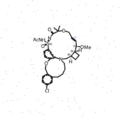 CO[C@@H]1/C=C/COC(C)(C)C(=O)N=[S@](=O)(NC(C)=O)c2ccc3c(c2)N(CCCCc2cc(Cl)ccc2CO3)C[C@@H]2CC[C@H]21